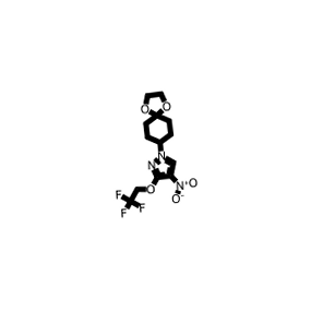 O=[N+]([O-])c1cn(C2CCC3(CC2)OCCO3)nc1OCC(F)(F)F